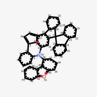 C1=CCC(c2ccccc2N(c2ccc3c(c2)C2(c4ccccc4-c4ccccc42)c2ccccc2-3)c2cccc3oc4ccccc4c23)=C1